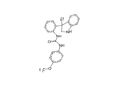 CCC1(c2ccccc2NC(=O)Nc2ccc(OC(F)(F)F)cc2)CNc2ccccc21